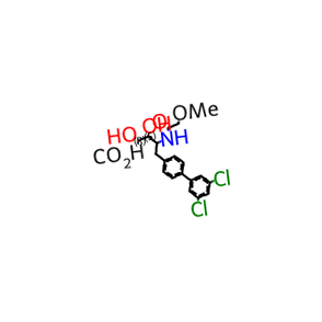 COCC(=O)NC(Cc1ccc(-c2cc(Cl)cc(Cl)c2)cc1)[C@H](O)[C@@H](O)C(=O)O